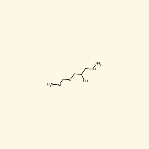 NNCOCC(O)CNN